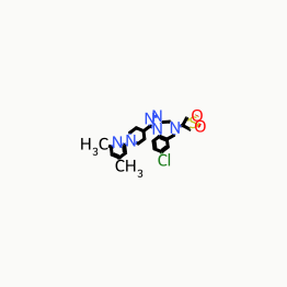 Cc1cc(C)nc(N2CCC(c3nnc4n3-c3ccc(Cl)cc3CN(C3CS(=O)(=O)C3)C4)CC2)c1